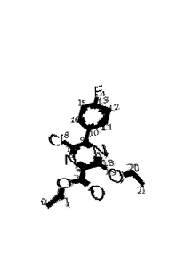 CCOC(=O)c1nc(Cl)c(-c2ccc(F)cc2)nc1OCC